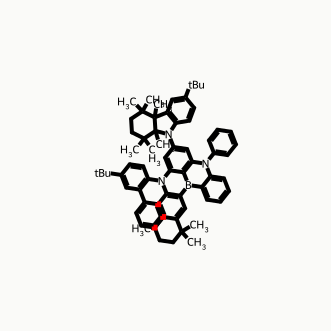 CC1CCC(C)(C)c2cc3c(cc21)N(c1ccc(C(C)(C)C)cc1C1=CC=C=C=C1)c1cc(N2c4ccc(C(C)(C)C)cc4C4(C)C(C)(C)CCC(C)(C)C24C)cc2c1B3c1ccccc1N2c1ccccc1